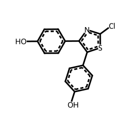 Oc1ccc(-c2nc(Cl)sc2-c2ccc(O)cc2)cc1